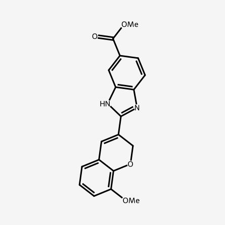 COC(=O)c1ccc2nc(C3=Cc4cccc(OC)c4OC3)[nH]c2c1